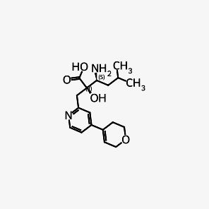 CC(C)C[C@H](N)[C@](O)(Cc1cc(C2=CCOCC2)ccn1)C(=O)O